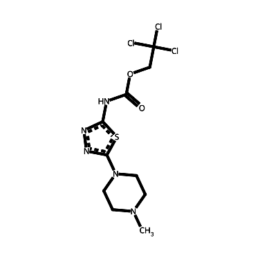 CN1CCN(c2nnc(NC(=O)OCC(Cl)(Cl)Cl)s2)CC1